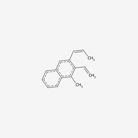 C=Cc1c(/C=C\C)cc2ccccc2c1C